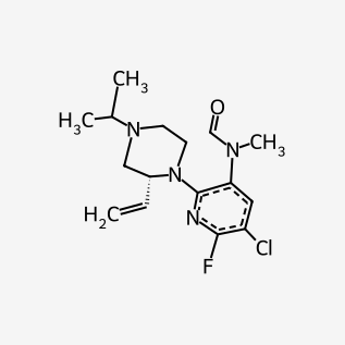 C=C[C@@H]1CN(C(C)C)CCN1c1nc(F)c(Cl)cc1N(C)C=O